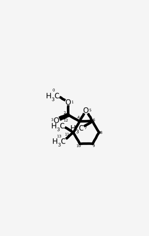 COC(=O)C12OC1(C)CCCC2(C)C